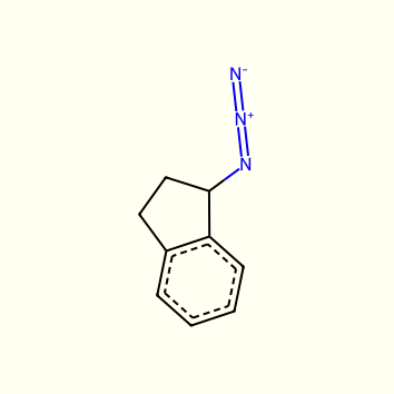 [N-]=[N+]=NC1CCc2ccccc21